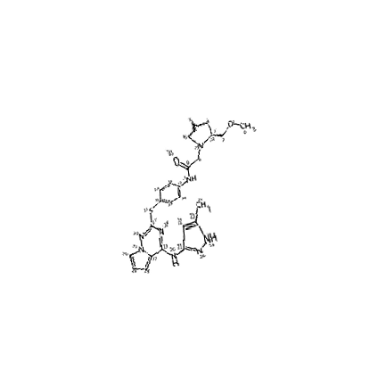 COC[C@@H]1CCCN1CC(=O)Nc1ccc(Sc2nc(Nc3cc(C)[nH]n3)c3cccn3n2)cc1